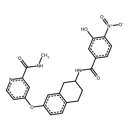 CNC(=O)c1cc(Oc2ccc3c(c2)CC(NC(=O)c2ccc([N+](=O)[O-])c(O)c2)CC3)ccn1